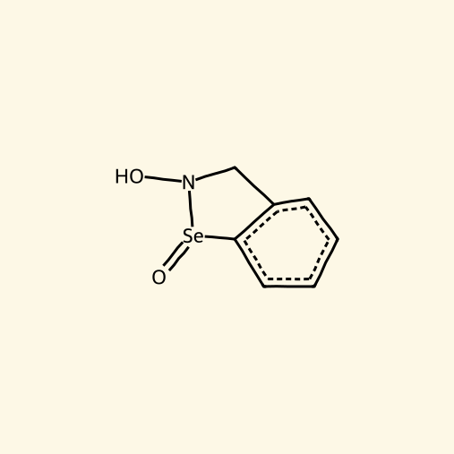 O=[Se]1c2ccccc2CN1O